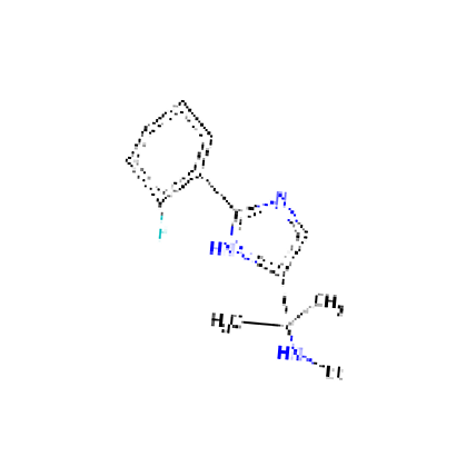 CCNC(C)(C)c1cnc(-c2ccccc2F)[nH]1